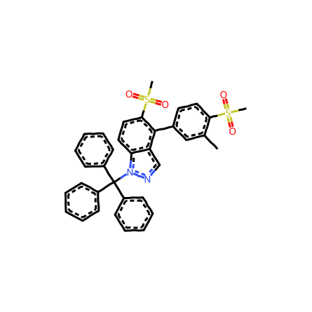 Cc1cc(-c2c(S(C)(=O)=O)ccc3c2cnn3C(c2ccccc2)(c2ccccc2)c2ccccc2)ccc1S(C)(=O)=O